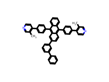 Cc1cnccc1-c1ccc(-c2c3ccccc3c(-c3ccc(-c4ccncc4C)cc3)c3cc(-c4cccc(-c5ccccc5)c4)ccc23)cc1